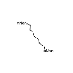 CCCCCCCCCCCCCCCCCCCCCCCCC